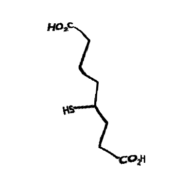 O=C(O)CCCC(S)CCC(=O)O